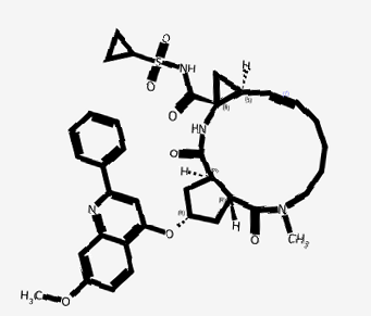 COc1ccc2c(O[C@@H]3C[C@H]4C(=O)N[C@]5(C(=O)NS(=O)(=O)C6CC6)C[C@H]5/C=C\CCCCN(C)C(=O)[C@@H]4C3)cc(-c3ccccc3)nc2c1